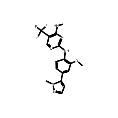 CNc1nc(Nc2ccc(-c3ccnn3C)cc2OC)ncc1C(F)(F)F